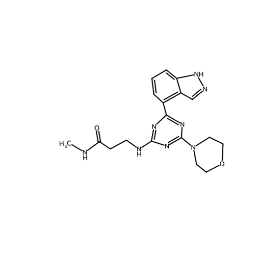 CNC(=O)CCNc1nc(-c2cccc3[nH]ncc23)nc(N2CCOCC2)n1